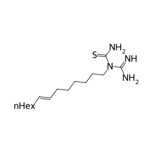 CCCCCCC=CCCCCCCN(C(=N)N)C(N)=S